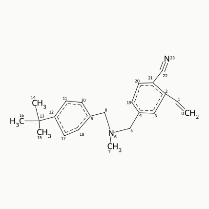 C=Cc1cc(CN(C)Cc2ccc(C(C)(C)C)cc2)ccc1C#N